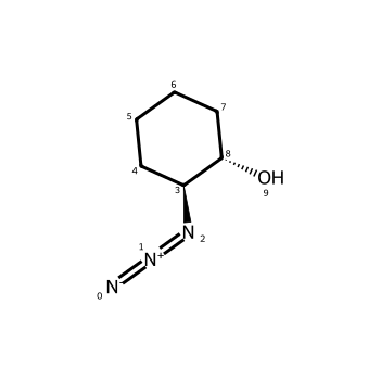 [N-]=[N+]=N[C@H]1CCCC[C@@H]1O